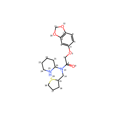 O=C(COc1ccc2c(c1)OCO2)N(CC1CCCS1)C1CCCCN1